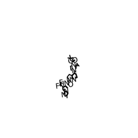 Cc1cn2cc(NC(=O)N3CCc4c(N5CCN(C(=O)OC(C)(C)C)C6(CC6)C5)ccnc43)c(C(F)F)cc2n1